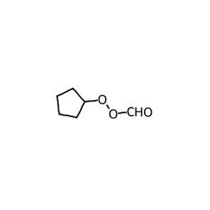 O=COOC1CCCC1